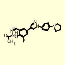 CC(=O)N/N=C\c1cc(-c2cnn(-c3ccc(N4CCCC4)cc3)c2)cc(F)c1O